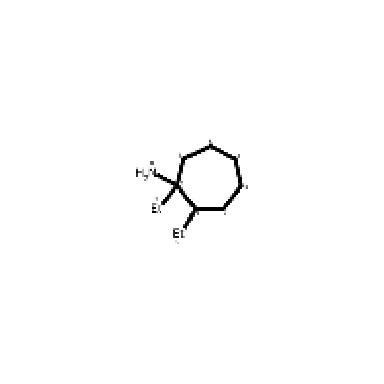 CCC1CCCCCC1(N)CC